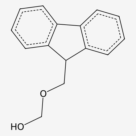 OCOCC1c2ccccc2-c2ccccc21